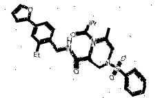 CCc1cc(-c2ccco2)ccc1CNC(=O)C1CN(S(=O)(=O)c2ccccc2)CC(C)N1C(=O)C(C)C